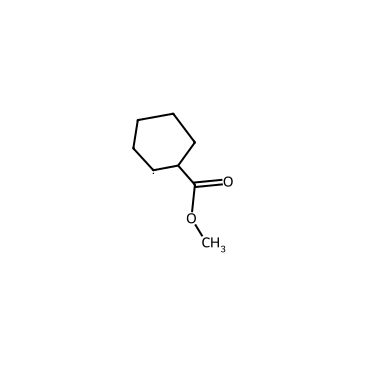 COC(=O)C1[CH]CCCC1